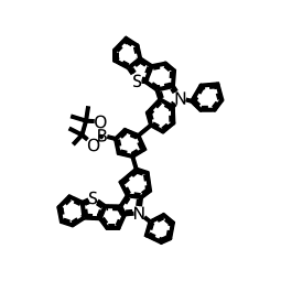 CC1(C)OB(c2cc(-c3ccc4c(c3)c3c5sc6ccccc6c5ccc3n4-c3ccccc3)cc(-c3ccc4c(c3)c3c5sc6ccccc6c5ccc3n4-c3ccccc3)c2)OC1(C)C